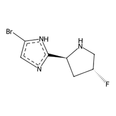 F[C@H]1CN[C@H](c2ncc(Br)[nH]2)C1